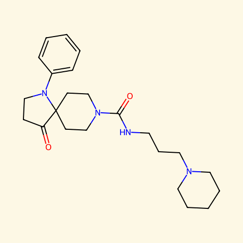 O=C(NCCCN1CCCCC1)N1CCC2(CC1)C(=O)CCN2c1ccccc1